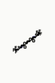 O=C(/C=C/SCC(F)(F)F)OCCCOC(=O)/C=C/SCC(F)(F)F